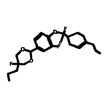 CCCC1=CCC(C(F)(F)Oc2ccc(C3OCC(F)(CCC)CO3)cc2F)CC1